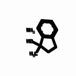 CC1(O)CCc2ccccc21.N